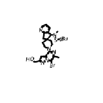 Cc1nc(N2CCC3(CC2)Cc2ncccc2C3N(C)SC(C)(C)C)c2cc(CO)nn2c1Br